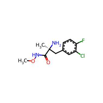 CONC(=O)[C@@](C)(N)Cc1ccc(F)c(Cl)c1